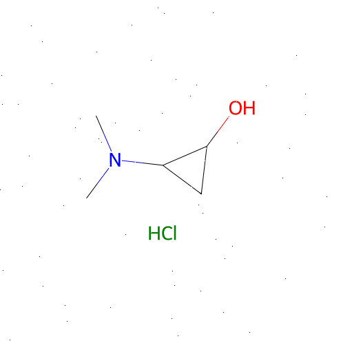 CN(C)C1CC1O.Cl